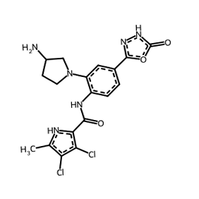 Cc1[nH]c(C(=O)Nc2ccc(-c3n[nH]c(=O)o3)cc2N2CCC(N)C2)c(Cl)c1Cl